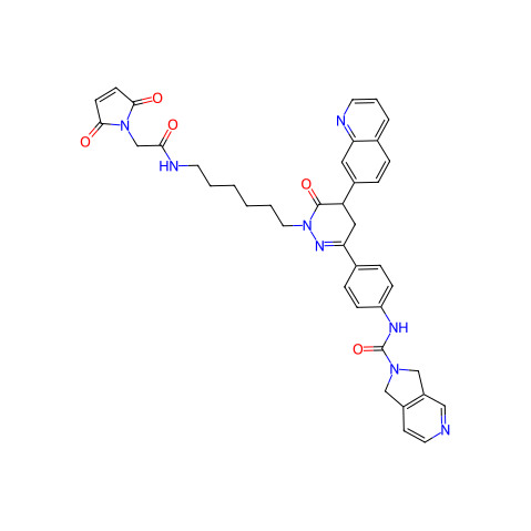 O=C(CN1C(=O)C=CC1=O)NCCCCCCN1N=C(c2ccc(NC(=O)N3Cc4ccncc4C3)cc2)CC(c2ccc3cccnc3c2)C1=O